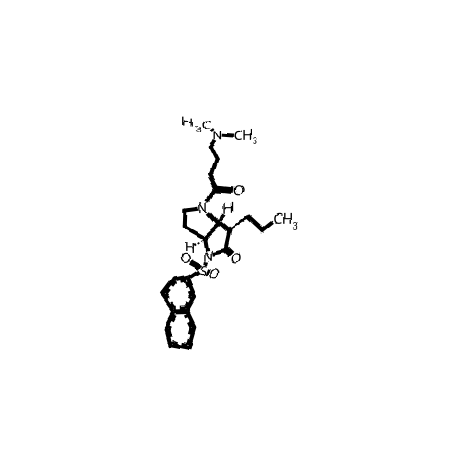 CCC[C@H]1C(=O)N(S(=O)(=O)c2ccc3ccccc3c2)[C@H]2CCN(C(=O)CCCN(C)C)[C@H]12